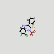 O=C(O)Nc1sc2ccccc2c1Nc1ccc(F)c(Cl)c1